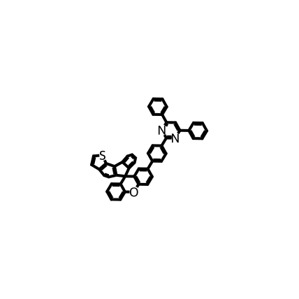 c1ccc(-c2cc(-c3ccccc3)nc(-c3ccc(-c4ccc5c(c4)C4(c6ccccc6O5)c5ccccc5-c5c4ccc4ccsc54)cc3)n2)cc1